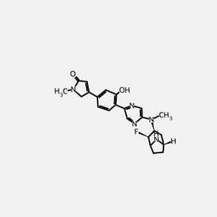 CN1CC(c2ccc(-c3cnc(N(C)[C@H]4C[C@@H]5CCC(N5)[C@H]4F)cn3)c(O)c2)=CC1=O